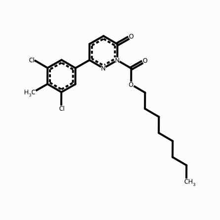 CCCCCCCCOC(=O)n1nc(-c2cc(Cl)c(C)c(Cl)c2)ccc1=O